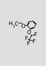 CCOc1ccccc1OC(F)C(F)(F)F